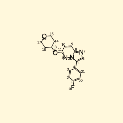 Fc1ccc(-c2cnc3ccc(OC4CCOCC4)nn23)cc1